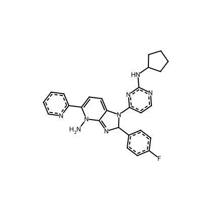 NN1C(c2ccccn2)=CC=C2C1=NC(c1ccc(F)cc1)N2c1ccnc(NC2CCCC2)n1